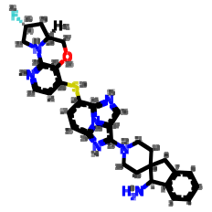 NC1c2ccccc2CC12CCN(c1nc3ccc(Sc4ccnc5c4OC[C@@H]4C[C@@H](F)CN54)c4ncc1n34)CC2